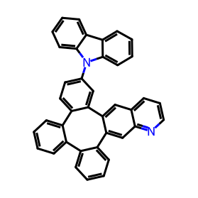 c1ccc2c(c1)-c1ccccc1-c1cc3ncccc3cc1-c1cc(-n3c4ccccc4c4ccccc43)ccc1-2